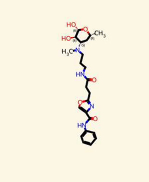 C[C@@H]1C[C@H](N(C)CCCNC(=O)CCc2nc(C(=O)Nc3ccccc3)co2)[C@@H](O)[C@H](O)O1